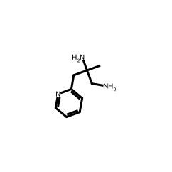 CC(N)(CN)Cc1ccccn1